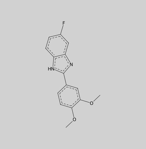 COc1ccc(-c2nc3cc(F)ccc3[nH]2)cc1OC